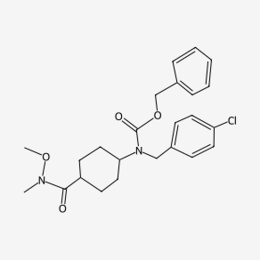 CON(C)C(=O)C1CCC(N(Cc2ccc(Cl)cc2)C(=O)OCc2ccccc2)CC1